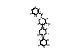 Cl.c1ccc(CN2CCC(N3CCN(c4ccccc4)CC3)CC2)cc1